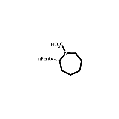 CCCCC[C@H]1CCCCCN1C(=O)O